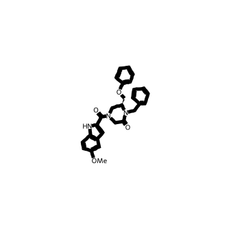 COc1ccc2[nH]c(C(=O)N3CC(=O)N(Cc4ccccc4)[C@@H](COc4ccccc4)C3)cc2c1